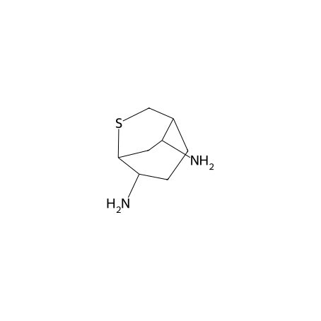 NC1CC2SCC1CCC2N